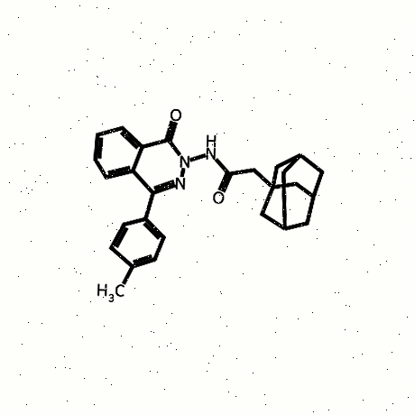 Cc1ccc(-c2nn(NC(=O)CC34CC5CC(CC(C5)C3)C4)c(=O)c3ccccc23)cc1